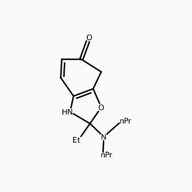 CCCN(CCC)C1(CC)NC2=C(CC(=O)C=C2)O1